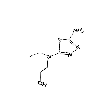 CCN(CCO)c1nnc(N)s1